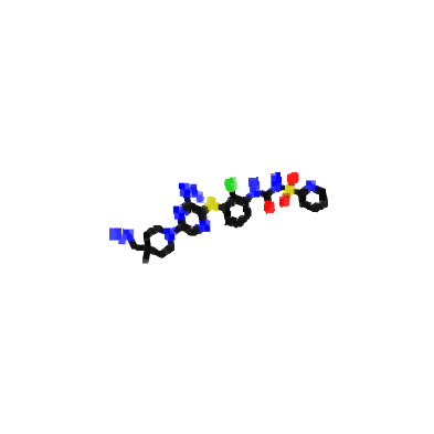 CC1(CN)CCN(c2cnc(Sc3cccc(NC(=O)NS(=O)(=O)c4ccccn4)c3Cl)c(N)n2)CC1